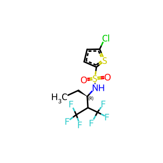 CC[C@@H](NS(=O)(=O)c1ccc(Cl)s1)C(C(F)(F)F)C(F)(F)F